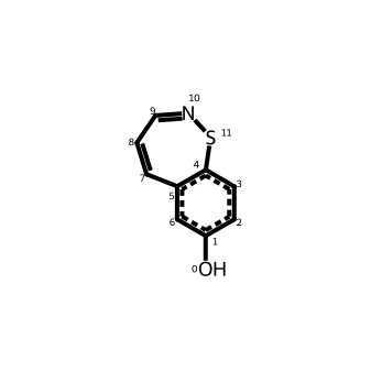 Oc1ccc2c(c1)C=CC=NS2